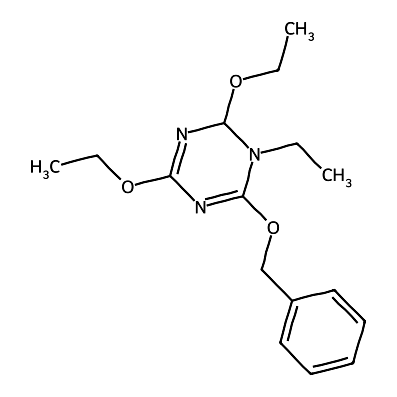 CCOC1=NC(OCC)N(CC)C(OCc2ccccc2)=N1